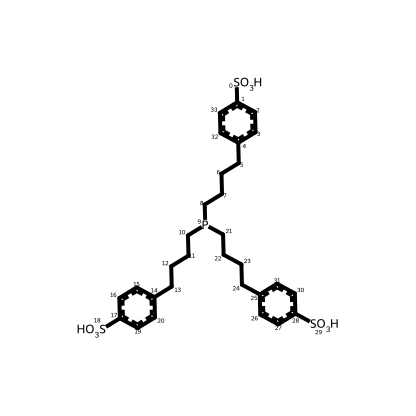 O=S(=O)(O)c1ccc(CCCCP(CCCCc2ccc(S(=O)(=O)O)cc2)CCCCc2ccc(S(=O)(=O)O)cc2)cc1